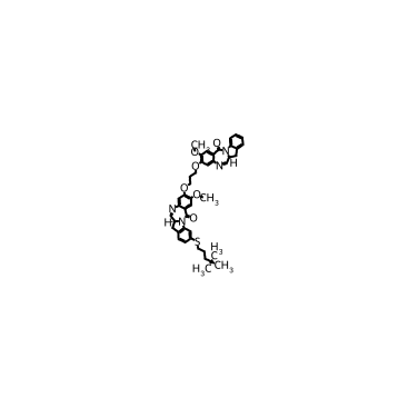 COc1cc2c(cc1OCCCOc1cc3c(cc1OC)C(=O)N1c4cc(SCCCC(C)(C)C)ccc4C[C@H]1C=N3)N=C[C@@H]1Cc3ccccc3N1C2=O